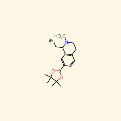 CC(C)CC1c2cc(B3OC(C)(C)C(C)(C)O3)ccc2CCN1C(=O)O